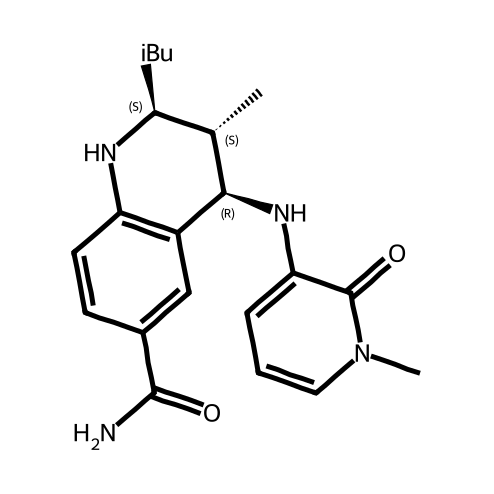 CCC(C)[C@@H]1Nc2ccc(C(N)=O)cc2[C@H](Nc2cccn(C)c2=O)[C@H]1C